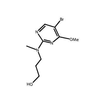 COc1nc(N(C)CCCO)ncc1Br